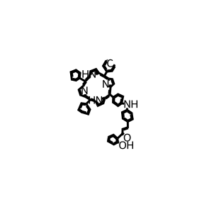 O=C(C=Cc1ccc(Nc2ccc(-c3c4nc(c(-c5ccccc5)c5ccc([nH]5)c(-c5ccccc5)c5nc(c(-c6ccccc6)c6ccc3[nH]6)C=C5)C=C4)cc2)cc1)c1ccccc1O